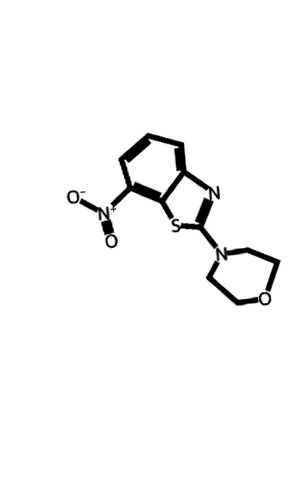 O=[N+]([O-])c1cccc2nc(N3CCOCC3)sc12